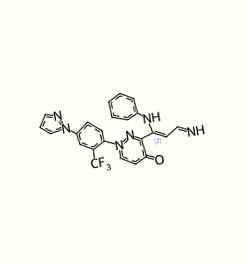 N=C/C=C(\Nc1ccccc1)c1nn(-c2ccc(-n3cccn3)cc2C(F)(F)F)ccc1=O